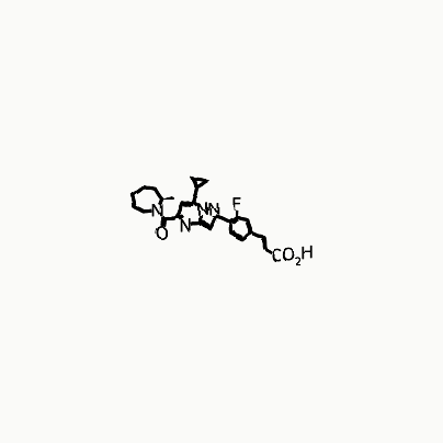 C[C@@H]1CCCCCN1C(=O)c1cc(C2CC2)n2nc(-c3ccc(/C=C/C(=O)O)cc3F)cc2n1